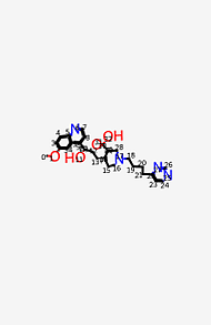 COc1ccc2nccc([C@@H](O)CC[C@@H]3CCN(CCCCc4ccncn4)C[C@@H]3C(=O)O)c2c1